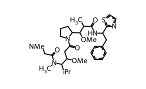 CNCC(=O)N(C)C(C(C)C)C(CC(=O)N1CCCC1C(OC)C(C)C(=O)NC(Cc1ccccc1)c1nccs1)OC